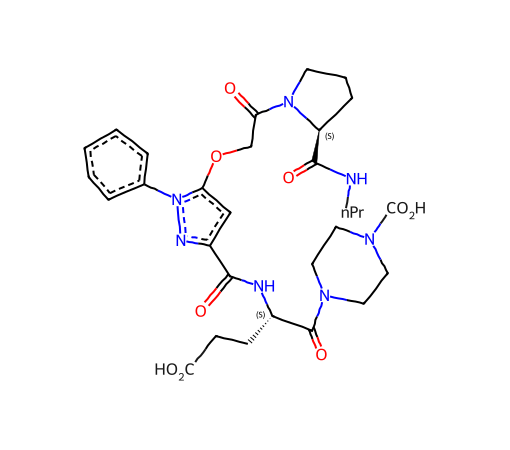 CCCNC(=O)[C@@H]1CCCN1C(=O)COc1cc(C(=O)N[C@@H](CCC(=O)O)C(=O)N2CCN(C(=O)O)CC2)nn1-c1ccccc1